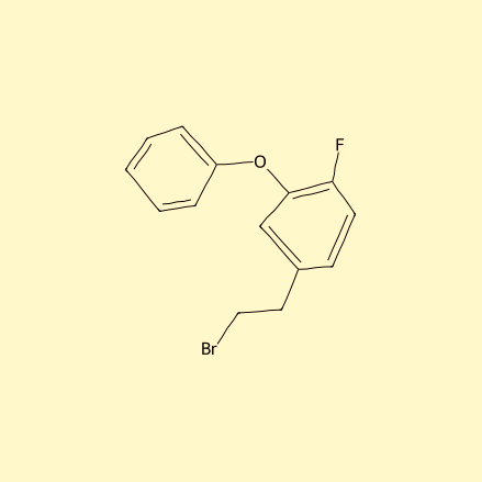 Fc1ccc(CCBr)cc1Oc1ccccc1